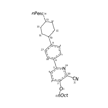 CCCCCCCCOc1ccc(-c2ccc(C3CCC(CCCCC)CC3)cc2)nc1C#N